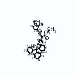 CCOC(=O)/C(=N\OC1CCN(C)C1=O)c1csc(NC(c2ccccc2)(c2ccccc2)c2ccccc2)n1